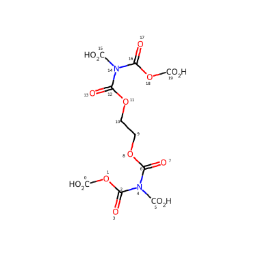 O=C(O)OC(=O)N(C(=O)O)C(=O)OCCOC(=O)N(C(=O)O)C(=O)OC(=O)O